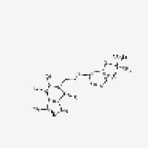 CCCc1n[nH]c2c1N(CC)C(C)N(CCOc1cccc(OC(C)(C)C(=O)OCC)c1)C2=O